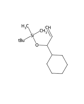 [CH]=CC(O[Si](C)(C)C(C)(C)C)C1CCCCC1